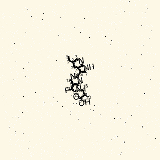 C=Cc1cnc2[nH]cc(-c3ncc4c(F)cn([C@H](C)[C@@H](C)C(=O)O)c4n3)c2c1